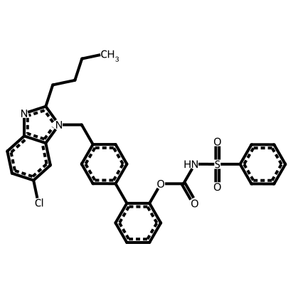 CCCCc1nc2ccc(Cl)cc2n1Cc1ccc(-c2ccccc2OC(=O)NS(=O)(=O)c2ccccc2)cc1